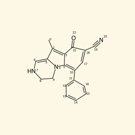 Cc1c2c(n3c1=CNCC3)=C(c1ccccc1)C=C(C#N)C2=O